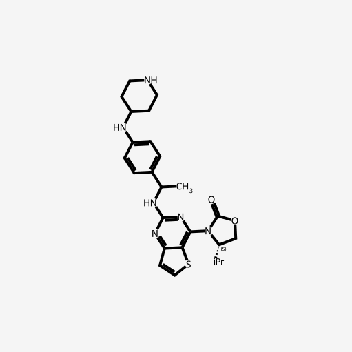 CC(Nc1nc(N2C(=O)OC[C@@H]2C(C)C)c2sccc2n1)c1ccc(NC2CCNCC2)cc1